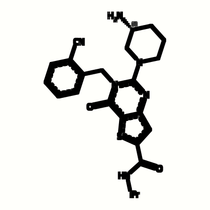 CC(C)NC(=O)c1cc2nc(N3CCC[C@@H](N)C3)n(Cc3ccccc3C#N)c(=O)c2s1